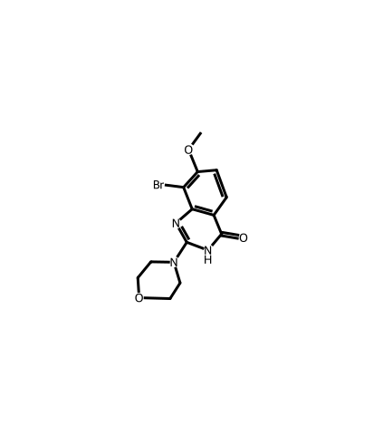 COc1ccc2c(=O)[nH]c(N3CCOCC3)nc2c1Br